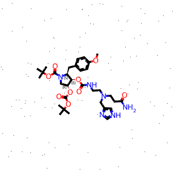 COc1ccc(C[C@H]2[C@H](OC(=O)NCCN(CCC(N)=O)Cc3c[nH]cn3)[C@H](OC(=O)OC(C)(C)C)CN2C(=O)OC(C)(C)C)cc1